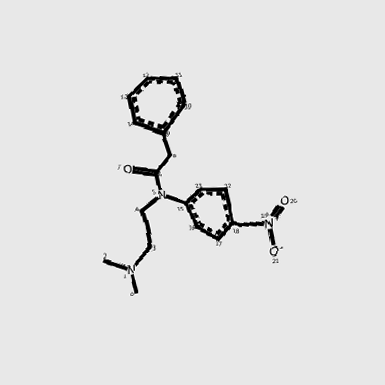 CN(C)CCN(C(=O)Cc1ccccc1)c1ccc([N+](=O)[O-])cc1